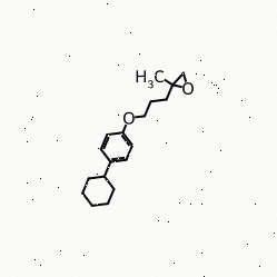 CC1(CCCOc2ccc(C3CCCCC3)cc2)CO1